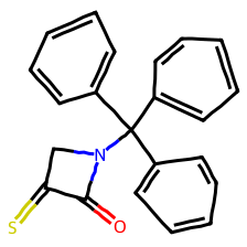 O=C1C(=S)CN1C(c1ccccc1)(c1ccccc1)c1ccccc1